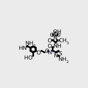 C[C@H]1[C@H](NC(=O)/C(=N\OCCOc2ccc(C(=N)N)cc2CO)c2csc(N)n2)C(=O)N1S(=O)(=O)O